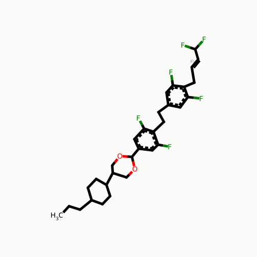 CCCC1CCC(C2COC(c3cc(F)c(CCc4cc(F)c(C/C=C/C(F)F)c(F)c4)c(F)c3)OC2)CC1